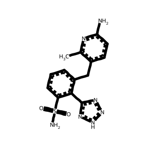 Cc1nc(N)ccc1Cc1cccc(S(N)(=O)=O)c1-c1nn[nH]n1